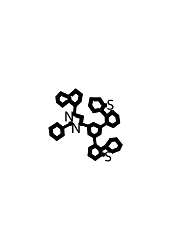 c1ccc(-c2nc(-c3cc(-c4cccc5sc6ccccc6c45)cc(-c4cccc5sc6ccccc6c45)c3)cc(-c3cccc4ccccc34)n2)cc1